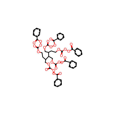 O=C(OCCC(COC(=O)OOC(=O)c1ccccc1)C(COC(=O)OOC(=O)c1ccccc1)C(CCOC(=O)OOC(=O)c1ccccc1)COC(=O)OOC(=O)c1ccccc1)OOC(=O)c1ccccc1